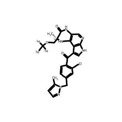 [2H]C([2H])([2H])OC[C@]1(C)Nc2c(cnc3[nH]cc(C(=O)c4ccc(Cn5nccc5C)cc4Cl)c23)NC1=O